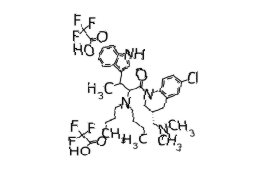 CCCCN(CCCC)C(C(=O)N1C[C@@H](CN(C)C)Cc2cc(Cl)ccc21)C(C)c1c[nH]c2ccccc12.O=C(O)C(F)(F)F.O=C(O)C(F)(F)F